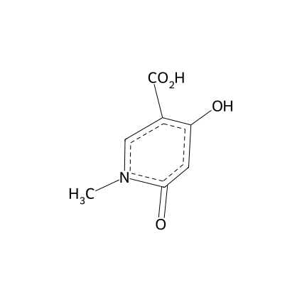 Cn1cc(C(=O)O)c(O)cc1=O